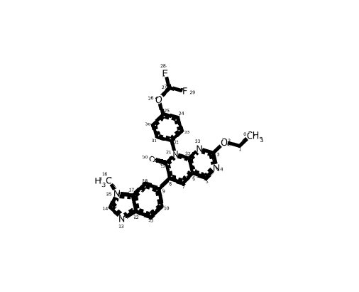 CCOc1ncc2cc(-c3ccc4ncn(C)c4c3)c(=O)n(-c3ccc(OC(F)F)cc3)c2n1